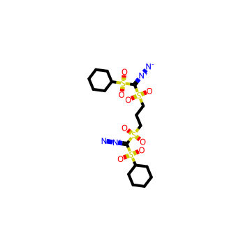 [N-]=[N+]=C(S(=O)(=O)CCCS(=O)(=O)C(=[N+]=[N-])S(=O)(=O)C1CCCCC1)S(=O)(=O)C1CCCCC1